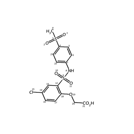 CS(=O)(=O)c1ccc(NS(=O)(=O)c2cc(Cl)ccc2OCC(=O)O)cc1